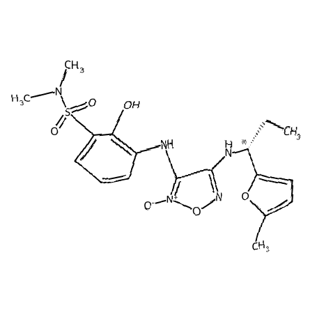 CC[C@@H](Nc1no[n+]([O-])c1Nc1cccc(S(=O)(=O)N(C)C)c1O)c1ccc(C)o1